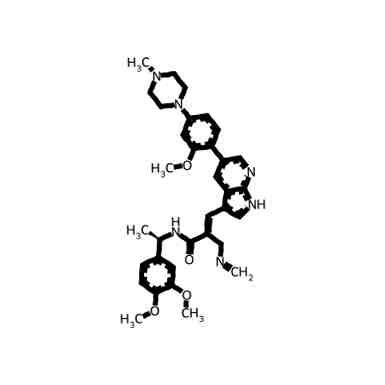 C=NC/C(=C\c1c[nH]c2ncc(-c3ccc(N4CCN(C)CC4)cc3OC)cc12)C(=O)N[C@H](C)c1ccc(OC)c(OC)c1